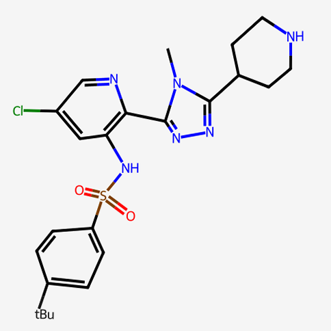 Cn1c(-c2ncc(Cl)cc2NS(=O)(=O)c2ccc(C(C)(C)C)cc2)nnc1C1CCNCC1